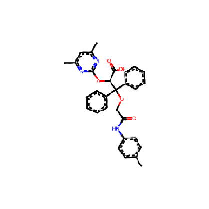 Cc1ccc(NC(=O)COC(c2ccccc2)(c2ccccc2)C(Oc2nc(C)cc(C)n2)C(=O)O)cc1